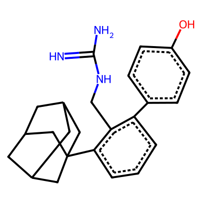 N=C(N)NCc1c(-c2ccc(O)cc2)cccc1C12CC3CC(CC(C3)C1)C2